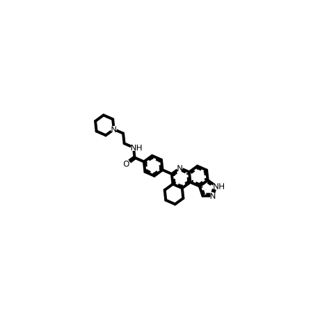 O=C(NCCN1CCCCC1)c1ccc(-c2nc3ccc4[nH]ncc4c3c3c2CCCC3)cc1